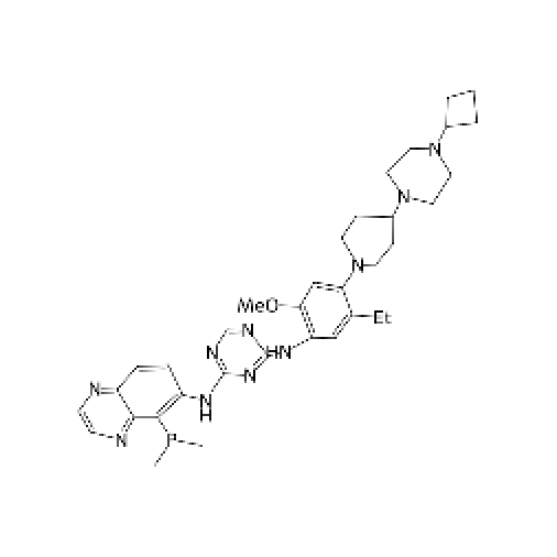 CCc1cc(Nc2ncnc(Nc3ccc4nccnc4c3P(C)C)n2)c(OC)cc1N1CCC(N2CCN(C3CCC3)CC2)CC1